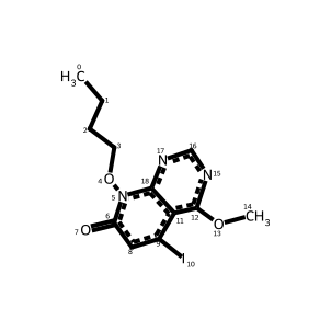 CCCCOn1c(=O)cc(I)c2c(OC)ncnc21